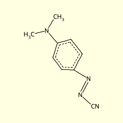 CN(C)c1ccc(N=NC#N)cc1